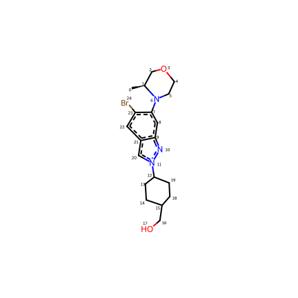 C[C@H]1COCCN1c1cc2nn(C3CCC(CO)CC3)cc2cc1Br